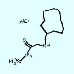 Cl.NNC(=O)NC1CCCCC1